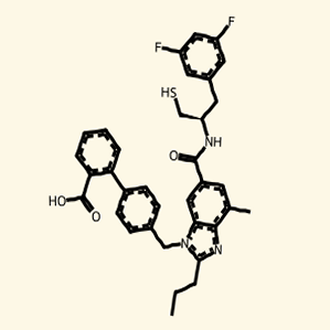 CCCc1nc2c(C)cc(C(=O)N[C@@H](CS)Cc3cc(F)cc(F)c3)cc2n1Cc1ccc(-c2ccccc2C(=O)O)cc1